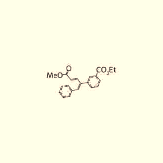 CCOC(=O)c1cccc(C(C=CC(=O)OC)=Cc2ccccc2)c1